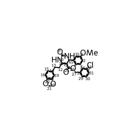 COc1cccc(C2NC(=O)NC(CCc3ccc4c(c3)OCO4)=C2C(=O)OCc2cccc(Cl)c2)c1